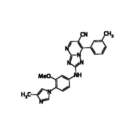 COc1cc(Nc2nc3ncc(C#N)c(-c4cccc(C)c4)n3n2)ccc1-n1cnc(C)c1